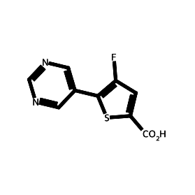 O=C(O)c1cc(F)c(-c2cncnc2)s1